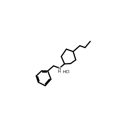 CCCC1CCC(NCc2ccccc2)CC1.Cl